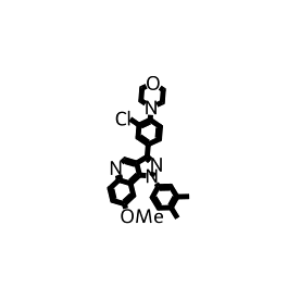 COc1ccc2ncc3c(-c4ccc(N5CCOCC5)c(Cl)c4)nn(-c4ccc(C)c(C)c4)c3c2c1